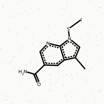 Cc1cn(SI)c2ncc(C(N)=O)cc12